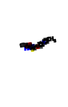 CC1CCN([C@H]2CC[C@H](OCc3csc(NC(=O)OC(C)(C)C)n3)CC2)CC1